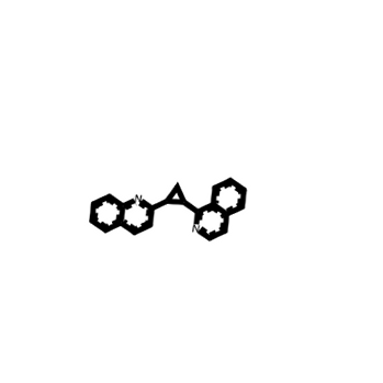 c1ccc2nc(C3CC3c3nccc4ccccc34)ccc2c1